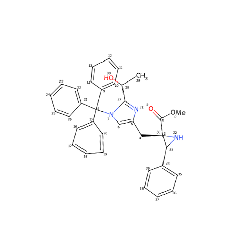 COC(=O)[C@]1(Cc2cn(C(c3ccccc3)(c3ccccc3)c3ccccc3)c(C(C)O)n2)NC1c1ccccc1